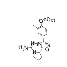 CCCCCCCCOc1ccc(-c2noc([C@@H]3CCCN3C(=N)N)n2)cc1C